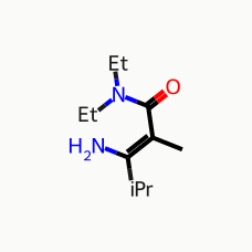 CCN(CC)C(=O)C(C)=C(N)C(C)C